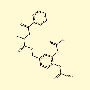 CNC(=O)Oc1ccc(COC(=O)N(C)CC(=O)c2ccccc2)cc1OC(=O)C(C)C